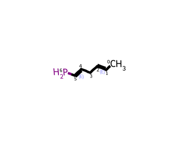 C/C=C/C/C=C/P